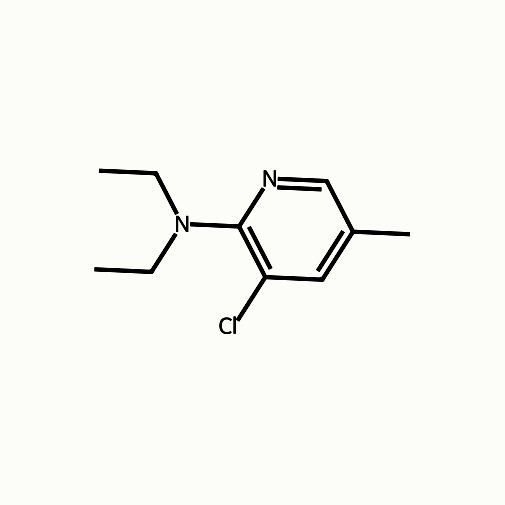 CCN(CC)c1ncc(C)cc1Cl